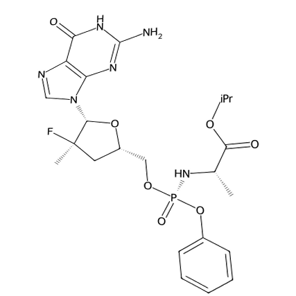 CC(C)OC(=O)[C@H](C)N[P@](=O)(OC[C@@H]1C[C@@](C)(F)[C@H](n2cnc3c(=O)[nH]c(N)nc32)O1)Oc1ccccc1